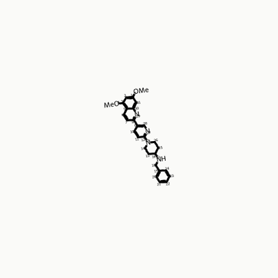 COc1cc(OC)c2ccc(-c3ccc(N4CCC(NCc5ccccc5)CC4)nc3)nc2c1